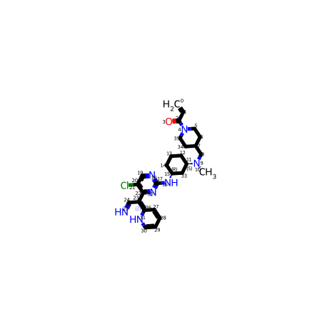 C=CC(=O)N1CCC(CN(C)[C@H]2CCC[C@@H](Nc3ncc(Cl)c(/C(C=N)=C4\C=CC=CN4)n3)C2)CC1